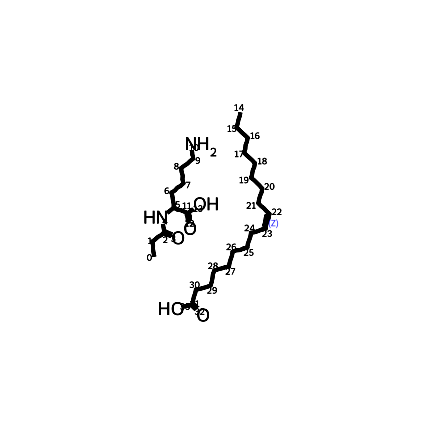 CCC(=O)NC(CCCCN)C(=O)O.CCCCCCCC/C=C\CCCCCCCC(=O)O